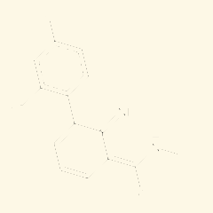 CN/C(C)=C1/C=CC=C(c2ccc(Cl)cc2Cl)C1=N